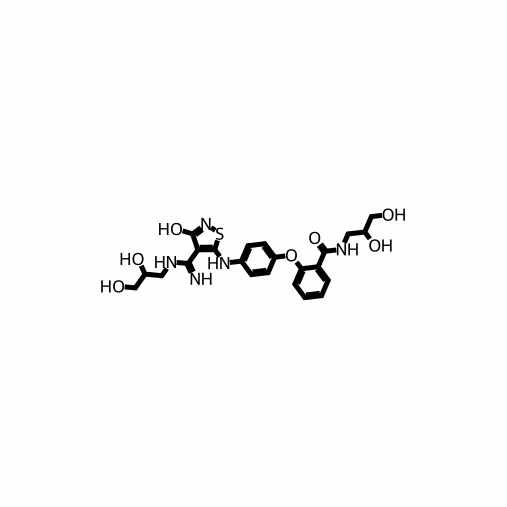 N=C(NCC(O)CO)c1c(O)nsc1Nc1ccc(Oc2ccccc2C(=O)NCC(O)CO)cc1